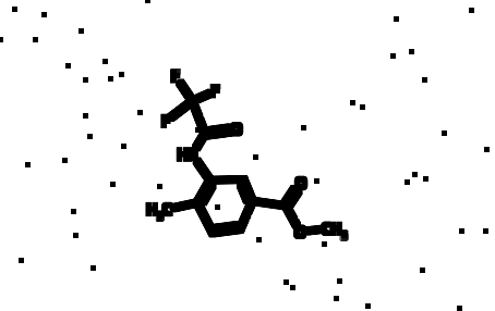 COC(=O)c1ccc(C)c(NC(=O)C(F)(F)F)c1